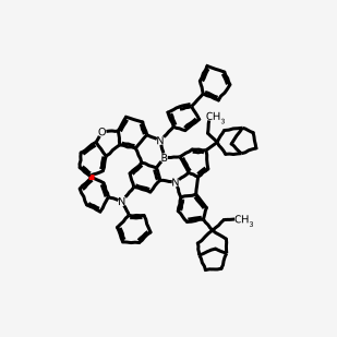 CCC1(c2ccc3c(c2)c2cc(C4(CC)CC5CCC(C5)C4)cc4c2n3-c2cc(N(c3ccccc3)c3ccccc3)cc3c2B4N(c2ccc(-c4ccccc4)cc2)c2ccc4oc5ccccc5c4c2-3)CC2CCC(C2)C1